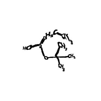 CC.CC(C)(C)OS(=O)O